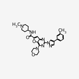 Cc1cccc(-c2cnn(-c3nc(N4CCOCC4)c4oc(C(=O)NC5CCN(C)CC5)cc4n3)c2)c1